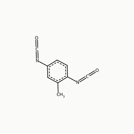 Cc1cc(N=C=O)ccc1N=C=O